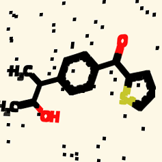 C=C(O)C(C)c1ccc(C(=O)c2cccs2)cc1